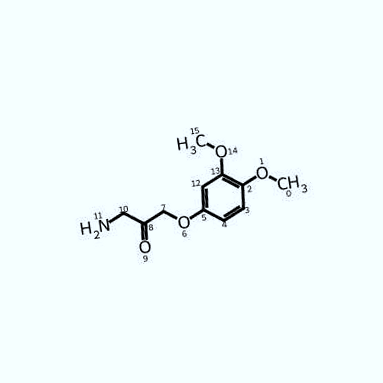 COc1ccc(OCC(=O)CN)cc1OC